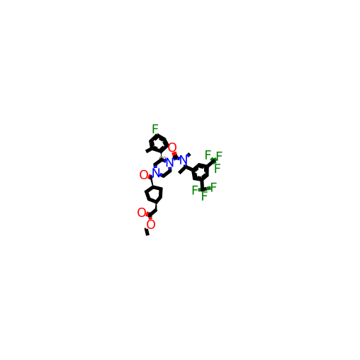 CCOC(=O)C[C@H]1CC[C@@H](C(=O)N2CCN(C(=O)N(C)C(C)c3cc(C(F)(F)F)cc(C(F)(F)F)c3)[C@@H](c3ccc(F)cc3C)C2)CC1